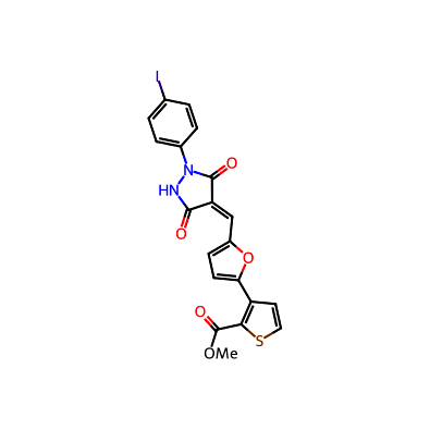 COC(=O)c1sccc1-c1ccc(C=C2C(=O)NN(c3ccc(I)cc3)C2=O)o1